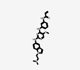 C=CC(=O)Nc1cccc(Nc2nc(Nc3ccc4c(ccn4CCN(C)C)c3)ncc2OC)c1